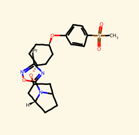 CC(C)c1noc(N2C3CC[C@@H]2CC(O[C@H]2CC[C@H](Oc4ccc(S(C)(=O)=O)cc4)CC2)C3)n1